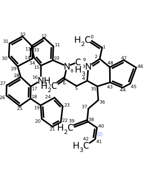 C=CC1=NC(CC(=C)N(C)c2ccccc2Nc2c(-c3ccccc3)cccc2-c2ccccc2)C(CCC(=C)/C=C\C)c2ccccc21